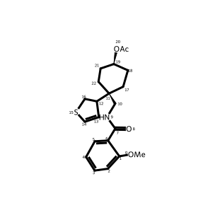 COc1ccccc1C(=O)NC[C@]1(C2C=CSC2)CC[C@H](OC(C)=O)CC1